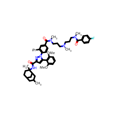 COc1cccc(OC)c1-c1cc(C(=O)NC2(C)CCC3CC(C)CC2C3)nn1-c1ccc(C(=O)N(C)CCCN(C)CCCN(C)C(=O)c2ccc(F)cc2)cc1C(C)C